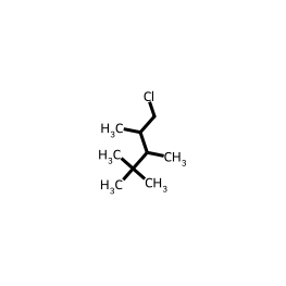 C[C](C(C)CCl)C(C)(C)C